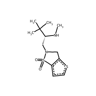 CN[C@H](CN1Cc2sccc2S1(=O)=O)C(C)(C)C